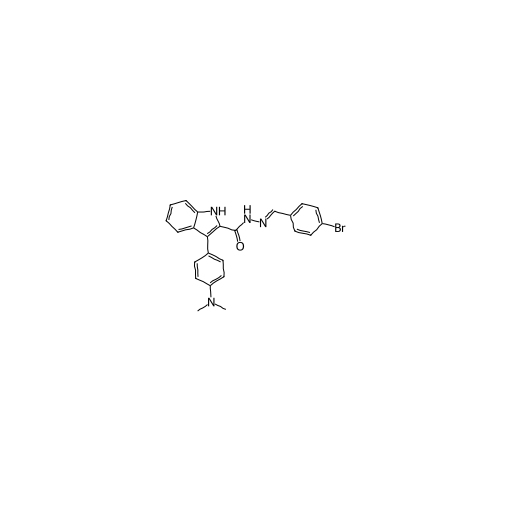 CN(C)c1ccc(-c2c(C(=O)NN=Cc3ccc(Br)cc3)[nH]c3ccccc23)cc1